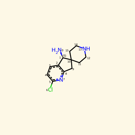 N[C@@H]1c2ccc(Cl)nc2CC12CCNCC2